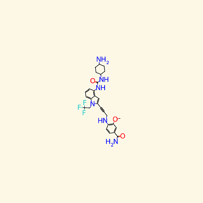 COc1cc(C(N)=O)ccc1NCC#Cc1cc2c(NC(=O)NC3CCC(N)CC3)cccc2n1CC(F)(F)F